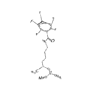 CO[SiH](OC)OC(C)CCCCNC(=O)c1c(F)c(F)c(F)c(F)c1F